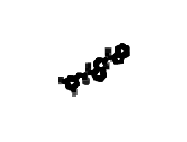 O=C(Cc1cc(F)cc(F)c1)Nc1cccc2nc(N[C@@H]3CCc4ccccc43)ccc12